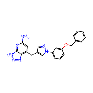 Nc1cc(Cc2cnn(-c3cccc(OCc4ccccc4)c3)c2)c2nn[nH]c2n1